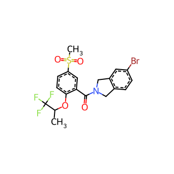 CC(Oc1ccc(S(C)(=O)=O)cc1C(=O)N1Cc2ccc(Br)cc2C1)C(F)(F)F